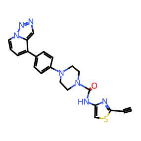 C#Cc1nc(NC(=O)N2CCN(c3ccc(-c4cccn5nncc45)cc3)CC2)cs1